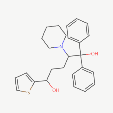 OC(CCC(N1CCCCC1)C(O)(c1ccccc1)c1ccccc1)c1cccs1